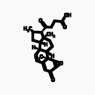 C[C@@H]1C[C@H]2[C@@H]3CCC4=CC(=O)C5=C(O5)[C@]4(C)[C@H]3CC[C@]2(C)[C@H]1C(=O)CCC(=O)O